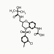 CC(C)(O)C(=O)NCC1CN(S(=O)(=O)c2ccc(F)c(Cl)c2)c2cc(NC(=O)O)ccc2O1